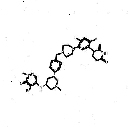 CN1C[C@H](Nc2cnn(C)c(=O)c2Br)C[C@H](c2ccc(CN3CCN(c4cc(C5CCC(=O)NC5=O)c(F)cc4F)CC3)cc2)C1